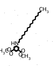 CCCCCCCCCCCCCCCCCCNc1cc(C(=O)OC)cc(C(=O)OC)c1